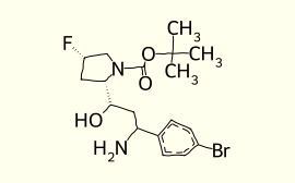 CC(C)(C)OC(=O)N1C[C@@H](F)C[C@H]1C(O)CC(N)c1ccc(Br)cc1